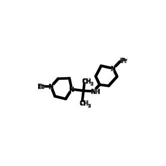 CCN1CCN(C(C)(C)NC2CCN(C(C)C)CC2)CC1